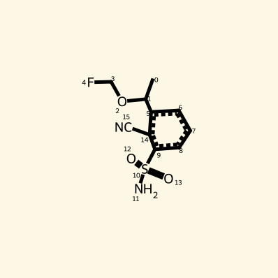 CC(OCF)c1cccc(S(N)(=O)=O)c1C#N